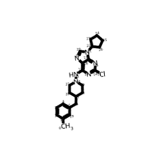 Cc1cccc(CC2CCN(Nc3nc(Cl)nc4c3ncn4C3CCCC3)CC2)c1